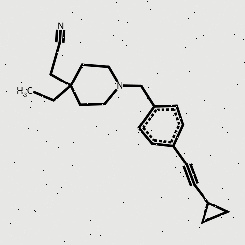 CCC1(CC#N)CCN(Cc2ccc(C#CC3CC3)cc2)CC1